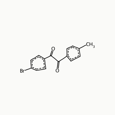 Cc1ccc(C(=O)C(=O)c2ccc(Br)cc2)cc1